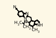 Cc1cc(OC(C)C)c(Cc2nc3cc(C#N)ccc3[nH]2)c2cc[nH]c12